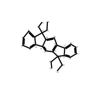 CCC1(CC)c2ccccc2-c2cc3c(cc21)-c1ccccc1C3(CC)CC